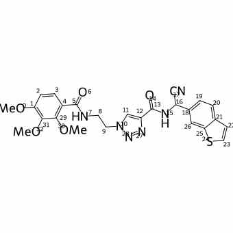 COc1ccc(C(=O)NCCn2cc(C(=O)NC(C#N)c3ccc4ccsc4c3)nn2)c(OC)c1OC